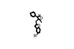 Cc1onc(-c2ccccc2)c1Cc1cc2cc(Br)ccc2o1